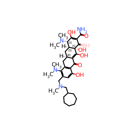 B=C1C(C(N)=O)=C(O)[C@@H](N(C)C)[C@@H]2C[C@@H]3Cc4c(c(O)cc(CN(C)CC5CCCCCC5)c4N(C)C)C(=O)C3=C(O)[C@]12O